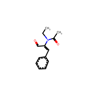 CCN(C(C)=O)C([C]=O)=Cc1ccccc1